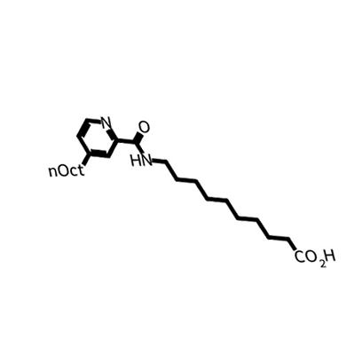 CCCCCCCCc1ccnc(C(=O)NCCCCCCCCCC(=O)O)c1